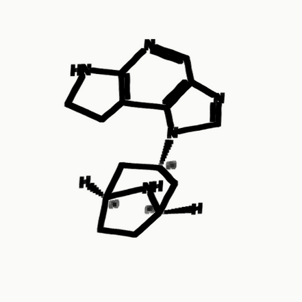 c1nc2c(c3c1ncn3[C@@H]1C[C@H]3CC[C@@H](C1)N3)CCN2